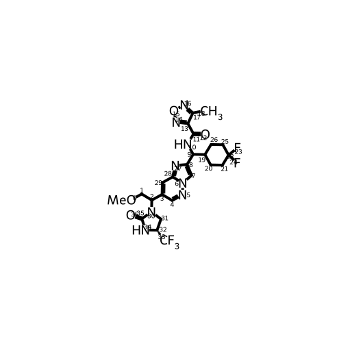 COCC(c1cnn2cc(C(NC(=O)c3nonc3C)C3CCC(F)(F)CC3)nc2c1)N1C[C@@H](C(F)(F)F)NC1=O